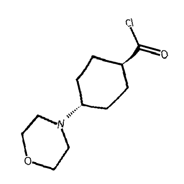 O=C(Cl)[C@H]1CC[C@H](N2CCOCC2)CC1